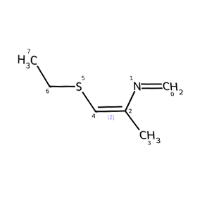 C=N/C(C)=C\SCC